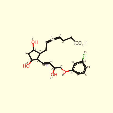 O=C(O)CCC=C=CCC1C(O)CC(O)C1/C=C/C(O)COc1cccc(Cl)c1